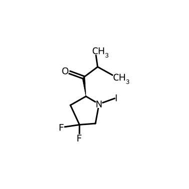 CC(C)C(=O)[C@@H]1CC(F)(F)CN1I